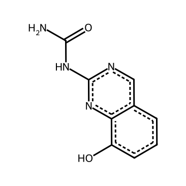 NC(=O)Nc1ncc2cccc(O)c2n1